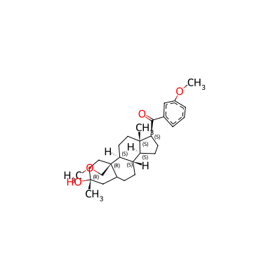 COC[C@]12CC[C@@](C)(O)CC1CC[C@@H]1[C@@H]2CC[C@]2(C)[C@@H](C(=O)c3cccc(OC)c3)CC[C@@H]12